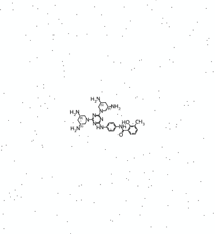 Cc1cccc(C(=O)Nc2ccc(Nc3nc(N4C[C@H](N)C[C@H](N)C4)nc(N4C[C@H](N)C[C@H](N)C4)n3)cc2)c1O